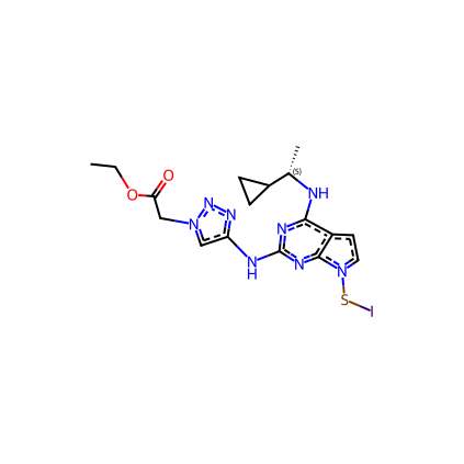 CCOC(=O)Cn1cc(Nc2nc(N[C@@H](C)C3CC3)c3ccn(SI)c3n2)nn1